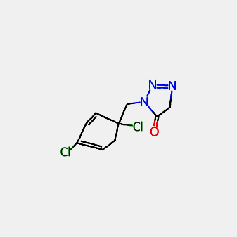 O=C1CN=NN1CC1(Cl)C=CC(Cl)=CC1